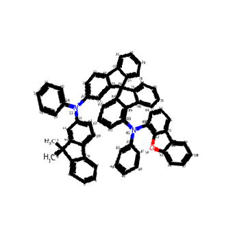 CC1(C)c2ccccc2-c2ccc(N(c3ccccc3)c3ccc4c(c3)C3(c5ccccc5-4)c4ccccc4-c4c(N(c5ccccc5)c5cccc6c5oc5ccccc56)cccc43)cc21